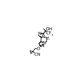 C[C@H]1Cn2nc(OCC3(C#N)CC3)cc2-c2cnc([C@@](C)(O)C(F)(F)F)n21